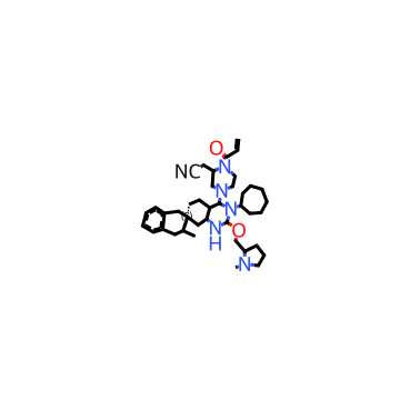 C=CC(=O)N1CCN(C2C3CC[C@]4(Cc5ccccc5CC4C)CC3NC(OCC3CCCN3C)N2C2CCCCCC2)CC1CC#N